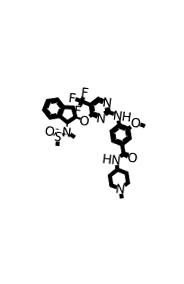 COc1cc(C(=O)NC2CCN(C)CC2)ccc1Nc1ncc(C(F)(F)F)c(O[C@@H]2Cc3ccccc3[C@H]2N(C)[S+](C)[O-])n1